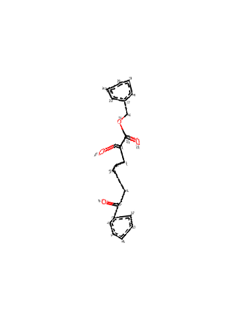 O=C(CCCC(=O)c1ccccc1)C(=O)OCc1ccccc1